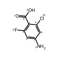 Nc1cc(F)c(C(=O)O)c(Cl)c1